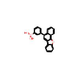 OB(O)c1cccc(-c2cc3c4ccccc4oc3c3ccccc23)c1